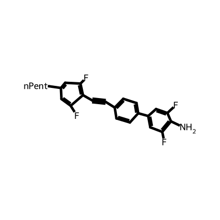 CCCCCc1cc(F)c(C#Cc2ccc(-c3cc(F)c(N)c(F)c3)cc2)c(F)c1